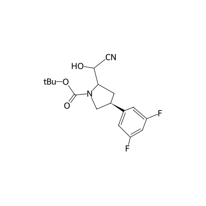 CC(C)(C)OC(=O)N1C[C@H](c2cc(F)cc(F)c2)CC1C(O)C#N